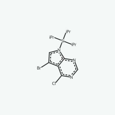 CC(C)[Si](C(C)C)(C(C)C)n1cc(Br)c2c(Cl)ncnc21